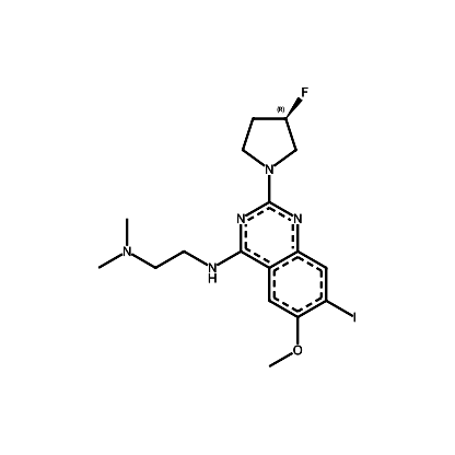 COc1cc2c(NCCN(C)C)nc(N3CC[C@@H](F)C3)nc2cc1I